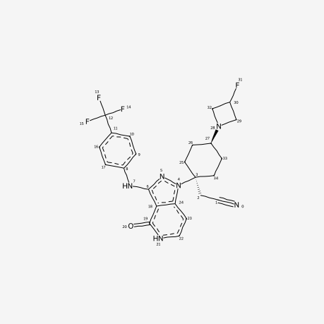 N#CC[C@]1(n2nc(Nc3ccc(C(F)(F)F)cc3)c3c(=O)[nH]ccc32)CC[C@@H](N2CC(F)C2)CC1